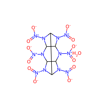 O.O=[N+]([O-])N1C2C3N([N+](=O)[O-])C1C1N([N+](=O)[O-])C(C(N1[N+](=O)[O-])N3[N+](=O)[O-])N2[N+](=O)[O-]